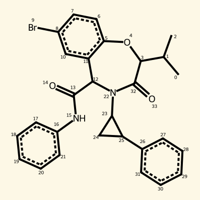 CC(C)C1Oc2ccc(Br)cc2C(C(=O)Nc2ccccc2)N(C2CC2c2ccccc2)C1=O